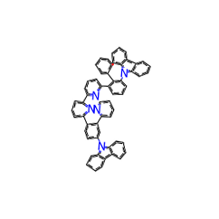 c1ccc(-c2c(-c3cccc(-c4cccc(-c5ccc(-n6c7ccccc7c7ccccc76)cc5-c5ccccn5)n4)n3)cccc2-n2c3ccccc3c3ccccc32)cc1